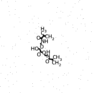 C=C(C)C(=O)NCOC(=O)C(O)OCNC(=O)C(=C)C